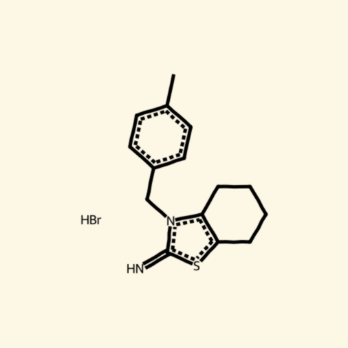 Br.Cc1ccc(Cn2c3c(sc2=N)CCCC3)cc1